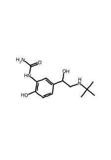 CC(C)(C)NCC(O)c1ccc(O)c(NC(N)=O)c1